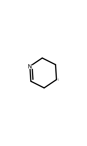 [C]1CC=NCC1